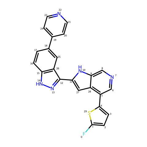 Fc1ccc(-c2cncc3[nH]c(-c4n[nH]c5ccc(-c6ccncc6)cc45)cc23)s1